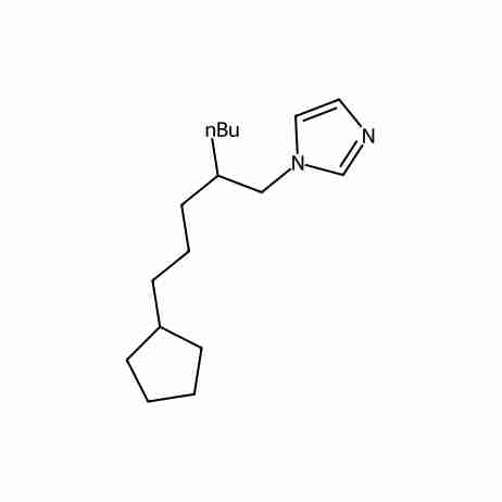 CCCCC(CCCC1CCCC1)Cn1ccnc1